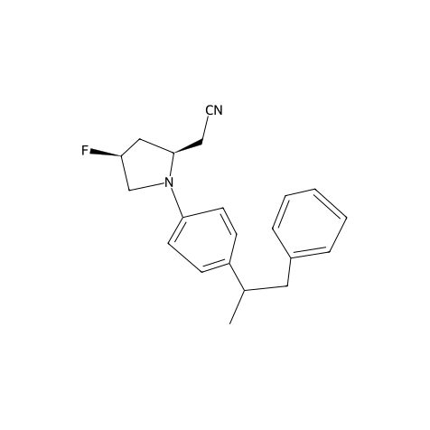 CC(Cc1ccccc1)c1ccc(N2C[C@@H](F)C[C@H]2CC#N)cc1